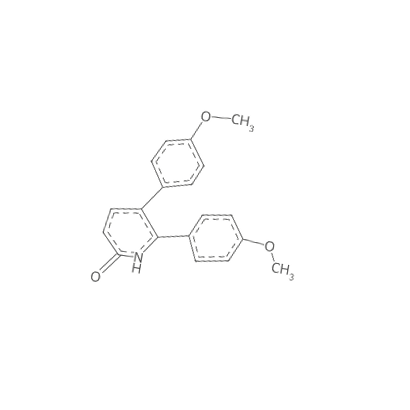 COc1ccc(-c2ccc(=O)[nH]c2-c2ccc(OC)cc2)cc1